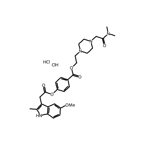 COc1ccc2[nH]c(C)c(CC(=O)Oc3ccc(C(=O)OCCN4CCN(CC(=O)N(C)C)CC4)cc3)c2c1.Cl.Cl